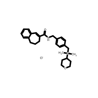 C[N+](C)(Cc1ccc(CNC(=O)C2=Cc3ccccc3CCC2)cc1)C1CCOCC1.[Cl-]